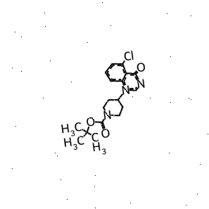 CC(C)(C)OC(=O)N1CCC(n2cnc(=O)c3c(Cl)cccc32)CC1